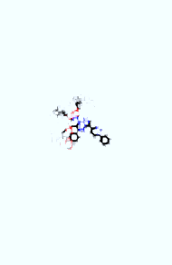 C=C(OCC)c1c(N(COCC[Si](C)(C)C)COCC[Si](C)(C)C)n2ncc(-c3ccc(-c4ccccc4)nc3)c2nc1[C@H]1CC[C@@](CO)(OC)CC1